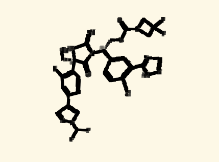 CC(C)(C)C[C@]1(c2ccc(-c3cnn(C(F)F)c3)cc2F)NC(=N)N([C@H](COC(=O)N2CC(F)(F)C2)c2ccc(Cl)c(-c3ncn[nH]3)c2)C1=O